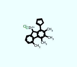 Cc1cccc2c1-c1c(C)c(C)c(C)c(C3=CC=CC3)c1[CH]2[Zr+2].[Cl-].[Cl-]